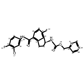 O=C(N[C@H]1CCc2c(C(=O)Nc3ccc(F)c(Cl)c3)ccc(F)c21)OCc1ccncn1